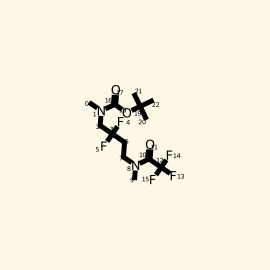 CN(CC(F)(F)CCN(C)C(=O)C(F)(F)F)C(=O)OC(C)(C)C